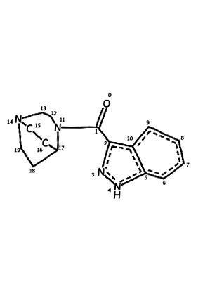 O=C(c1n[nH]c2ccccc12)N1CCN2CCC1CC2